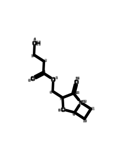 O=C(C[CH]O)OCC1OC2CCN2C1=O